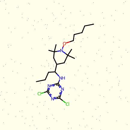 CCCCCON1C(C)(C)CC(C(CCC)Nc2nc(Cl)nc(Cl)n2)CC1(C)C